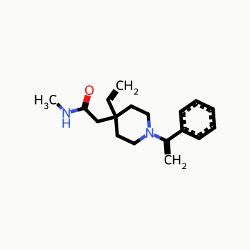 C=CC1(CC(=O)NC)CCN(C(=C)c2ccccc2)CC1